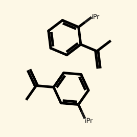 C=C(C)c1cccc(C(C)C)c1.C=C(C)c1ccccc1C(C)C